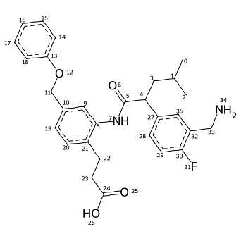 CC(C)CC(C(=O)Nc1cc(COc2ccccc2)ccc1CCC(=O)O)c1ccc(F)c(CN)c1